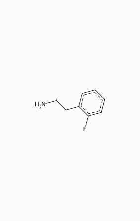 N[CH]Cc1ccccc1F